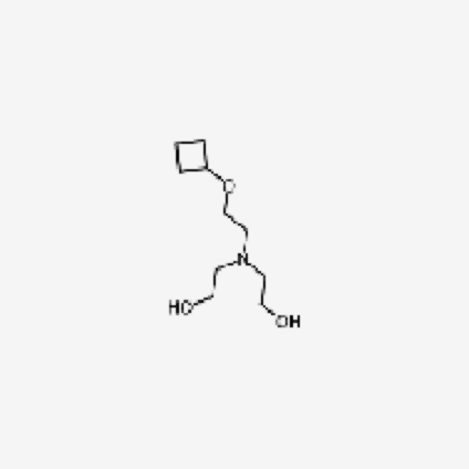 OCCN(CCO)CCOC1CCC1